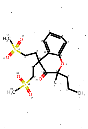 CCCC1(C)Oc2ccccc2C(CCS(C)(=O)=O)(CCS(C)(=O)=O)C1=O